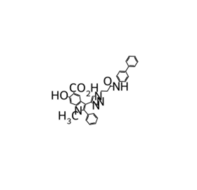 Cn1c(-c2ccccc2)c(-c2cn(CCC(=O)Nc3ccc(-c4ccccc4)cc3)nn2)c2cc(C(=O)O)c(O)cc21